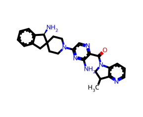 CC1CN(C(=O)c2ncc(N3CCC4(CC3)Cc3ccccc3[C@H]4N)nc2N)c2cccnc21